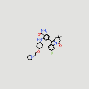 CC1(C)CC(=O)n2c(c(-c3ccc(C(N)=O)c(N[C@H]4CC[C@H](OCCN5CCCC5)CC4)c3)c3ccc(F)cc32)C1